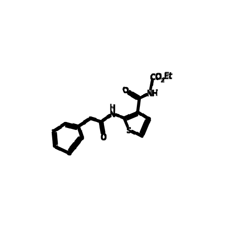 CCOC(=O)NC(=O)c1ccsc1NC(=O)Cc1ccccc1